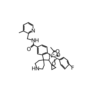 CC(=O)[N+]1(S(=O)(=O)c2ccc(F)cc2)c2ccc(C(=O)NCc3ncccc3C)cc2C2(CCNCC2)C1C1CC1